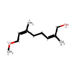 COCC=C(C)CCC=C(C)CO